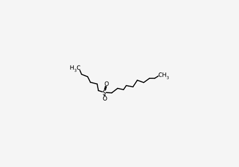 CCCCCCCCCCS(=O)(=O)CCCCCC